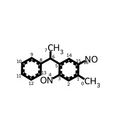 Cc1cc(N=O)c(C(C)c2ccccc2)cc1N=O